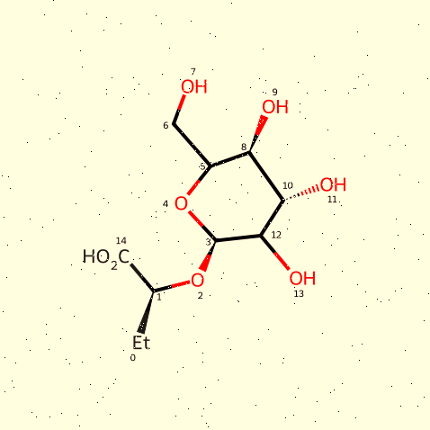 CC[C@H](O[C@H]1OC(CO)[C@@H](O)[C@H](O)C1O)C(=O)O